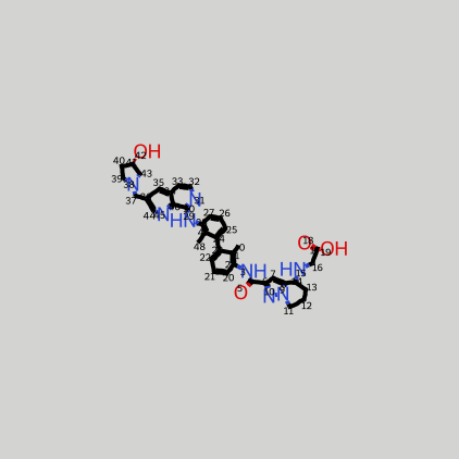 Cc1c(NC(=O)c2cc3n(n2)CCCC3NCC(=O)O)cccc1-c1cccc(Nc2nccc3cc(CN4CC[C@@H](O)C4)cnc23)c1C